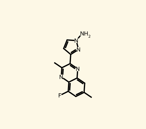 Cc1cc(F)c2nc(C)c(-c3ccn(N)n3)nc2c1